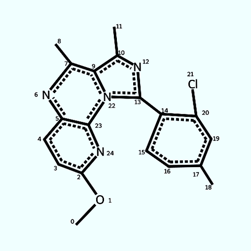 COc1ccc2nc(C)c3c(C)nc(-c4ccc(C)cc4Cl)n3c2n1